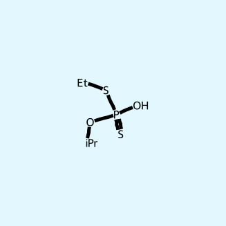 CCSP(O)(=S)OC(C)C